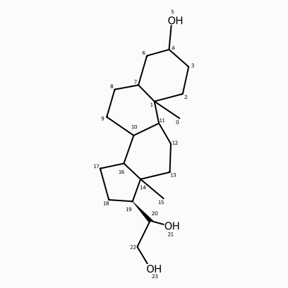 CC12CCC(O)CC1CCC1C2CCC2(C)C1CC[C@@H]2C(O)CO